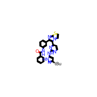 CC(C)(C)c1cc(Nc2nccc(-c3c(-c4cccc(NC(=O)c5ccccc5)c4)nc4sccn34)n2)[nH]n1